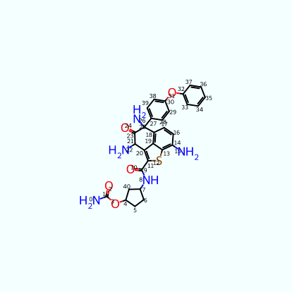 NC(=O)OC1CCC(NC(=O)c2sc3c(N)ccc4c3c2C(N)C(=O)C4(N)c2ccc(Oc3ccccc3)cc2)C1